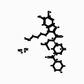 COCCCCn1c(C(=O)N(CC(C)C)[C@@H]2CNC[C@H](C(=O)N3CCOCC3)C2)nc2cc(F)c(F)cc21.Cl.Cl